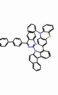 c1ccc(-c2ccc(-c3nc(-n4c5ccc6ccccc6c5c5cccc(-c6ccc7c(c6)Sc6ccccc6N7c6ccccc6)c54)nc4ccccc34)cc2)cc1